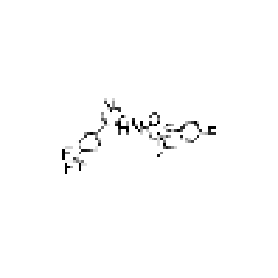 CC(C)N(CC(=O)NCc1cncc(-c2ccc(C(F)(F)F)cc2)c1)Sc1ccc(F)cc1